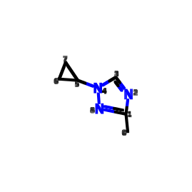 Cc1ncn(C2CC2)n1